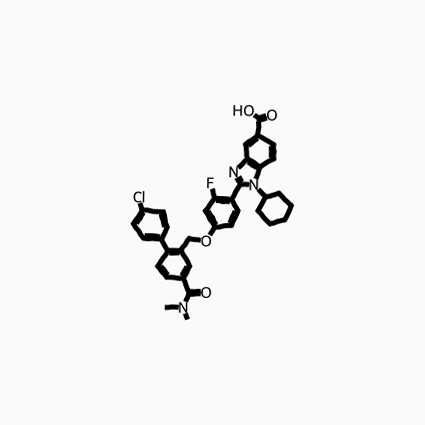 CN(C)C(=O)c1ccc(-c2ccc(Cl)cc2)c(COc2ccc(-c3nc4cc(C(=O)O)ccc4n3C3CCCCC3)c(F)c2)c1